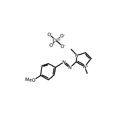 COc1ccc(/N=N/c2n(C)cc[n+]2C)cc1.[O-][Cl+3]([O-])([O-])[O-]